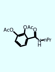 CCCNC(=O)c1cccc(OC(C)=O)c1OC(C)=O